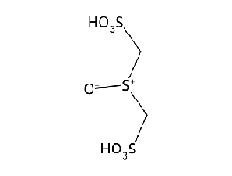 O=S(=O)(O)C[S+]([O-])CS(=O)(=O)O